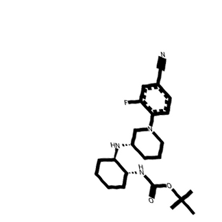 CC(C)(C)OC(=O)N[C@@H]1CCCC[C@H]1N[C@H]1CCCN(c2ccc(C#N)cc2F)C1